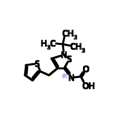 CC(C)(C)n1cc(Cc2cccs2)/c(=N/C(=O)O)s1